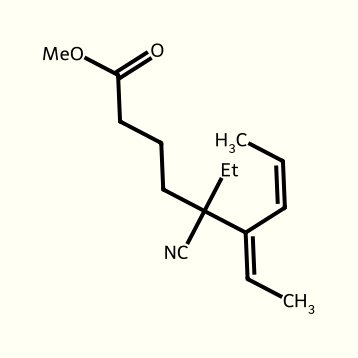 C/C=C\C(=C/C)C(C#N)(CC)CCCC(=O)OC